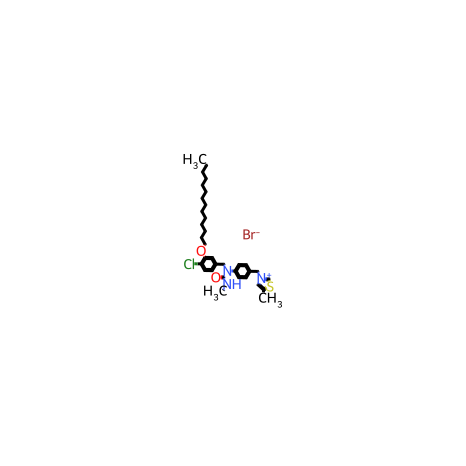 CCCCCCCCCCCCCCOc1cc(CN(C(=O)NC)c2ccc(C[n+]3csc(C)c3)cc2)ccc1Cl.[Br-]